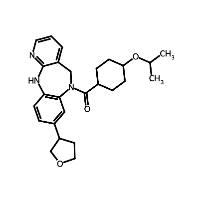 CC(C)OC1CCC(C(=O)N2Cc3cccnc3Nc3ccc(C4CCOC4)cc32)CC1